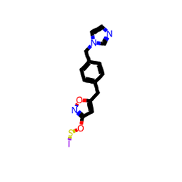 ISOc1cc(Cc2ccc(Cn3ccnc3)cc2)on1